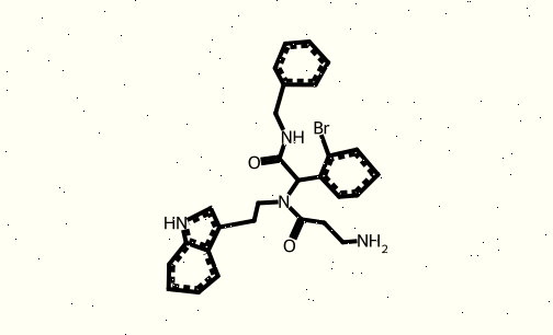 NCCC(=O)N(CCc1c[nH]c2ccccc12)C(C(=O)NCc1ccccc1)c1ccccc1Br